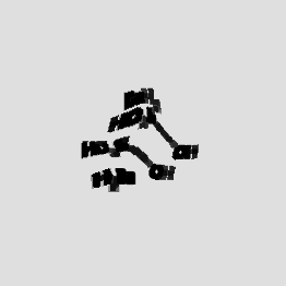 O=S(=O)(O)O.O=S(=O)(O)O.[BaH2].[BaH2]